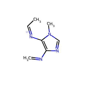 C=Nc1ncn(C)c1/N=C\C